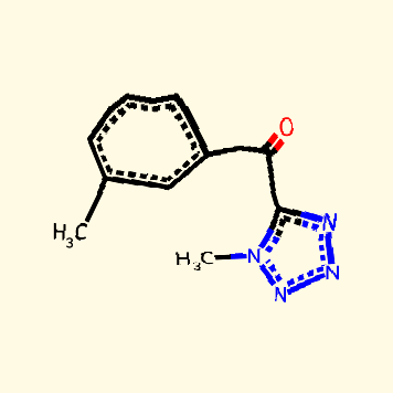 Cc1cccc(C(=O)c2nnnn2C)c1